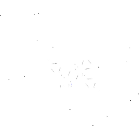 CC(C)/N=c1/cc2n(-c3ccc(Cl)cc3)c3ccccc3nc-2cc1N(C)c1ccc(Cl)cc1